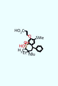 CCCCC1(CC)CC(c2ccccc2)c2cc(SC)c(O/C=C/C(=O)O)cc2S(O)(O)C1C